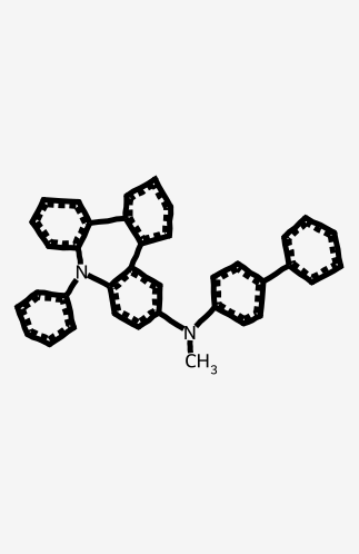 CN(c1ccc(-c2ccccc2)cc1)c1ccc2c(c1)-c1ccccc1-c1ccccc1N2c1ccccc1